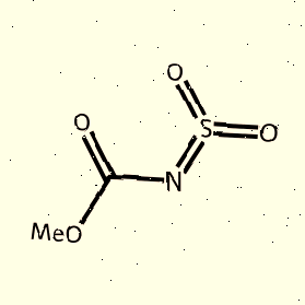 COC(=O)N=S(=O)=O